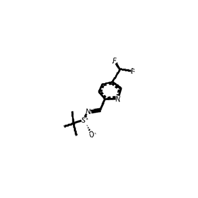 CC(C)(C)[S@@+]([O-])/N=C/c1ccc(C(F)F)cn1